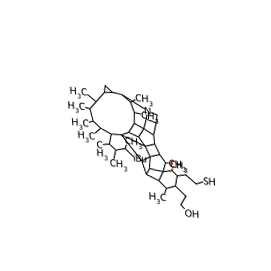 CCC(C)C(C)C(C)C(C)C1C(C)C(C)C(C)C(C)C2CC2C2C(C)C(C)C3C4C5C36C(C3CN2C36)C2C3C(C)C67C(C)C(CCS)C(CCO)C(C)C6C6C7C37C6C14C257